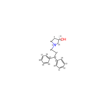 C[C@@]1(O)CCN(CCC(c2ccccc2)c2ccccc2)C1